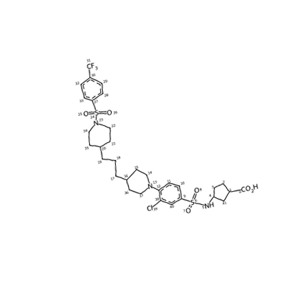 O=C(O)C1CCC(NS(=O)(=O)c2ccc(N3CCC(CCCC4CCN(S(=O)(=O)c5ccc(C(F)(F)F)cc5)CC4)CC3)c(Cl)c2)C1